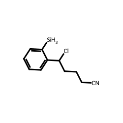 N#CCCCC(Cl)c1ccccc1[SiH3]